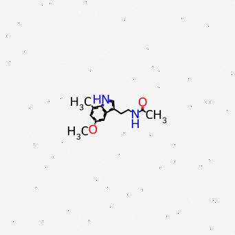 COc1cc(C)c2[nH]cc(CCNC(C)=O)c2c1